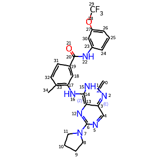 C=C/N=C1/C=NC(N2CCCC2)=N/C1=C(/N)Nc1cc(C(=O)Nc2cccc(OC(F)(F)F)c2)ccc1C